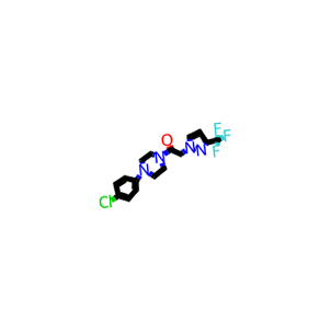 O=C(Cn1ccc(C(F)(F)F)n1)N1CCN(c2ccc(Cl)cc2)CC1